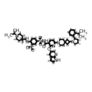 CC(C)c1ccccc1C1CCCN1C1CC2(CCN(c3ccc(C(=O)NS(=O)(=O)c4ccc(NCC5(F)CCN(C(C)C)CC5)c([N+](=O)[O-])c4)c(Oc4cnc5[nH]ccc5c4)n3)CC2)C1